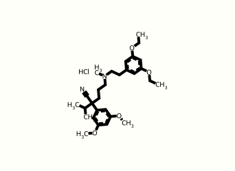 CCOc1cc(CCN(C)CCCC(C#N)(c2cc(OC)cc(OC)c2)C(C)C)cc(OCC)c1.Cl